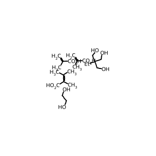 C=C(C)C(=O)O.C=C(C)C(=O)O.CC(C)=C(C)C(=O)O.CCC(CO)(CO)CO.OCCO